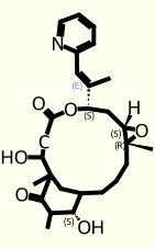 C/C(=C\c1ccccn1)[C@@H]1C[C@@H]2O[C@]2(C)CCCC2CC(C)(C(=O)C(C)[C@H]2O)C(O)CC(=O)O1